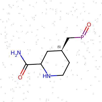 NC(=O)C1C[C@@H](CP=O)CCN1